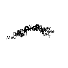 CON[C@H](C[C@@H](CCCN)c1nc2ccc3cc(-c4nc5ccc6nc([C@@H]7CCCN7C(=O)[C@@H](NC(=O)OC)C(C)C)[nH]c6c5o4)ncc3c2[nH]1)C(C)C